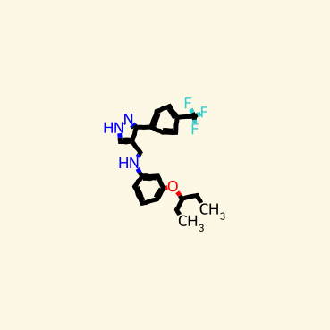 CCC(CC)Oc1cccc(NCc2c[nH]nc2-c2ccc(C(F)(F)F)cc2)c1